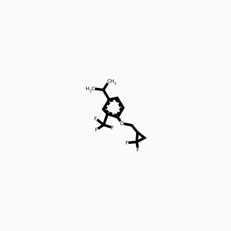 CC(C)c1ccc(OCC2CC2(F)F)c(C(F)(F)F)c1